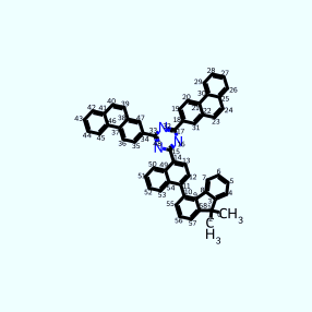 CC1(C)c2ccccc2-c2c(-c3ccc(-c4nc(-c5ccc6c(ccc7ccccc76)c5)nc(-c5ccc6c(ccc7ccccc76)c5)n4)c4ccccc34)cccc21